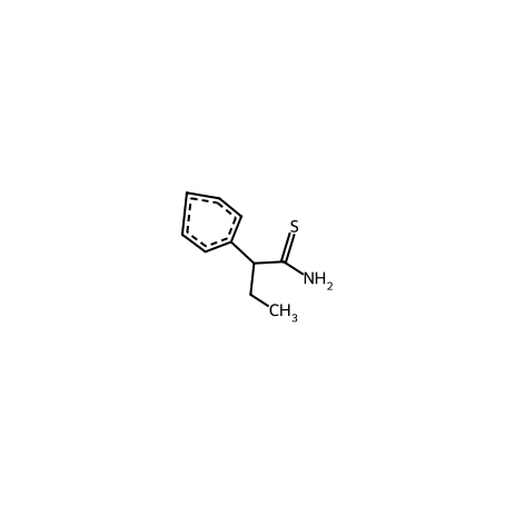 CCC(C(N)=S)c1ccccc1